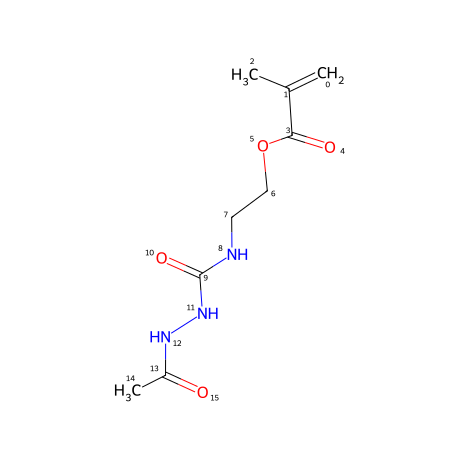 C=C(C)C(=O)OCCNC(=O)NNC(C)=O